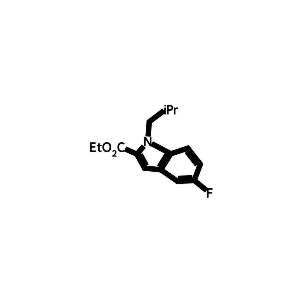 CCOC(=O)c1cc2cc(F)ccc2n1CC(C)C